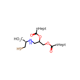 CCCCCCCC(=O)OCC(CN[C@@H](CS)C(=O)O)OC(=O)CCCCCCC